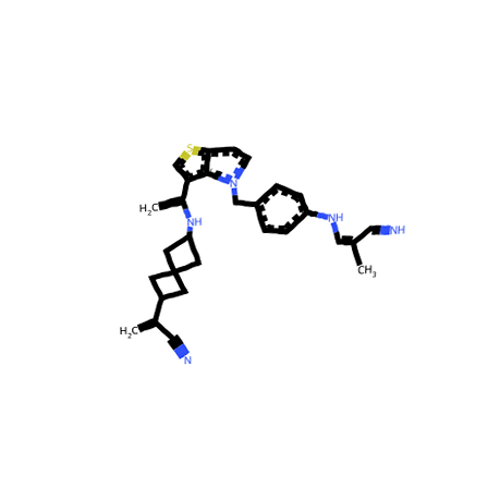 C=C(NC1CC2(C1)CC(C(=C)C#N)C2)c1csc2ccn(Cc3ccc(N/C=C(/C)C=N)cc3)c12